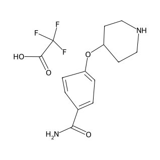 NC(=O)c1ccc(OC2CCNCC2)cc1.O=C(O)C(F)(F)F